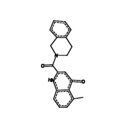 Cc1cccc2[nH]c(C(=O)N3CCc4ccccc4C3)cc(=O)c12